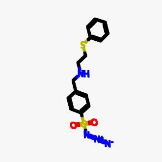 [N-]=[N+]=NS(=O)(=O)c1ccc(CNCCSc2ccccc2)cc1